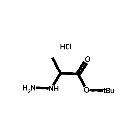 CC(NN)C(=O)OC(C)(C)C.Cl